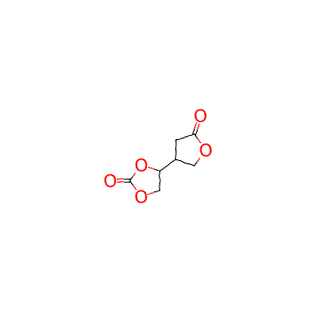 O=C1CC(C2COC(=O)O2)CO1